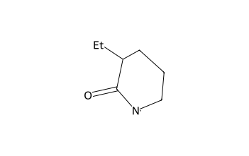 CCC1CCC[N]C1=O